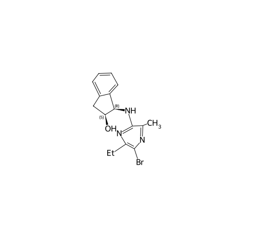 CCc1nc(N[C@@H]2c3ccccc3C[C@@H]2O)c(C)nc1Br